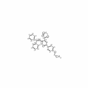 CCOc1ccc(C(=O)C=C(NN=C(c2ccccc2)c2ccccc2)C(=O)OC)cc1